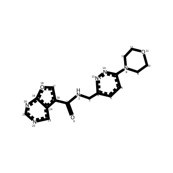 O=C(NCc1ccc(N2CCOCC2)nn1)c1coc2ncncc12